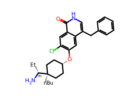 CCCC[C@]1([C@H](N)CC)CC[C@H](Oc2cc3c(Cc4ccccc4)c[nH]c(=O)c3cc2Cl)CC1